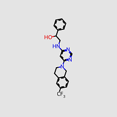 OC(CNc1cc(N2CCc3cc(C(F)(F)F)ccc3C2)ncn1)c1ccccc1